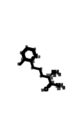 Cc1cccnc1CCC[C@H](N)C(N)=O